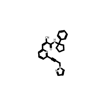 N#CC(=Cc1cccc(C#CCn2cccn2)n1)C(=O)NC1(c2ccccc2)CCCC1